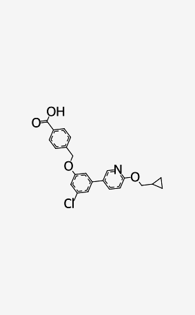 O=C(O)c1ccc(COc2cc(Cl)cc(-c3ccc(OCC4CC4)nc3)c2)cc1